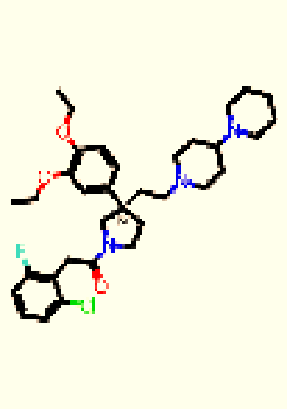 CCOc1ccc([C@]2(CCN3CCC(N4CCCCC4)CC3)CCN(C(=O)Cc3c(F)cccc3Cl)C2)cc1OCC